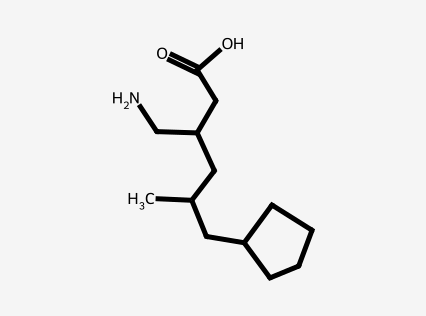 CC(CC1CCCC1)CC(CN)CC(=O)O